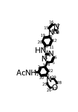 CC(=O)Nc1cc(-c2ccnc(Nc3ccc(-n4ccnn4)cc3)n2)cc(N2CCOCC2)c1